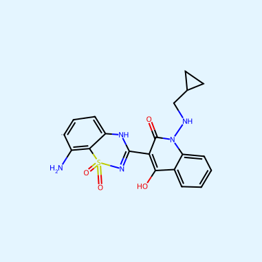 Nc1[c]ccc2c1S(=O)(=O)N=C(c1c(O)c3ccccc3n(NCC3CC3)c1=O)N2